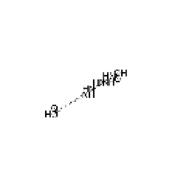 O=C(O)CCCCCCCCCCNCCNCCCNNCCNC(=O)O